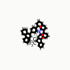 CC1(C)c2ccccc2-c2ccc(N(c3ccccc3-c3ccccc3)c3cc(-c4cc5ccccc5c5ccccc45)ccc3-c3ccccc3)cc21